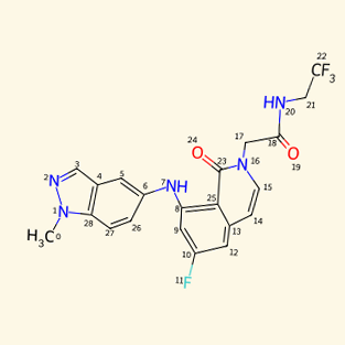 Cn1ncc2cc(Nc3cc(F)cc4ccn(CC(=O)NCC(F)(F)F)c(=O)c34)ccc21